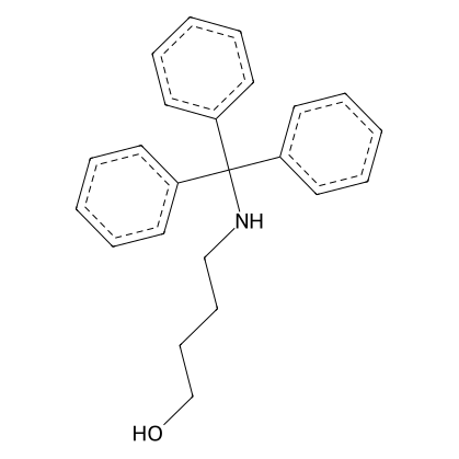 OCCCCNC(c1ccccc1)(c1ccccc1)c1ccccc1